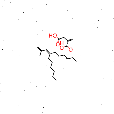 C=C(C)C=C(CCCCCC)CCCCCC.C=C(CC(=O)O)C(=O)O